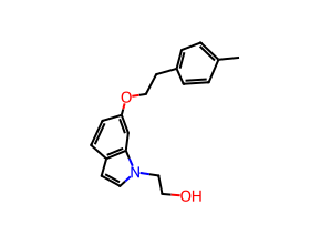 Cc1ccc(CCOc2ccc3ccn(CCO)c3c2)cc1